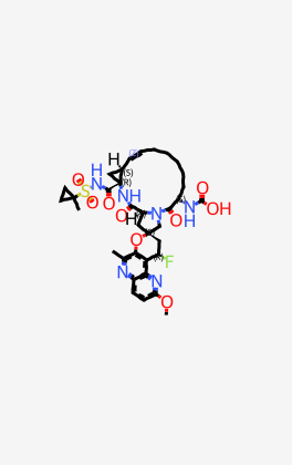 COc1ccc2nc(C)c3c(c2n1)[C@H](F)C[C@]1(C[C@H]2C(=O)N[C@]4(C(=O)NS(=O)(=O)C5(C)CC5)C[C@H]4/C=C\CCCCC[C@H](NC(=O)O)C(=O)N2C1)O3